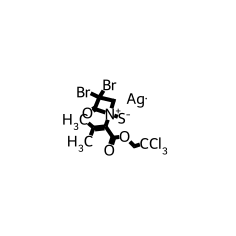 CC(C)=C(C(=O)OCC(Cl)(Cl)Cl)[N+]1([S-])CC(Br)(Br)C1=O.[Ag]